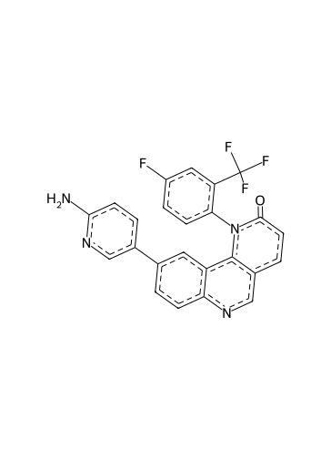 Nc1ccc(-c2ccc3ncc4ccc(=O)n(-c5ccc(F)cc5C(F)(F)F)c4c3c2)cn1